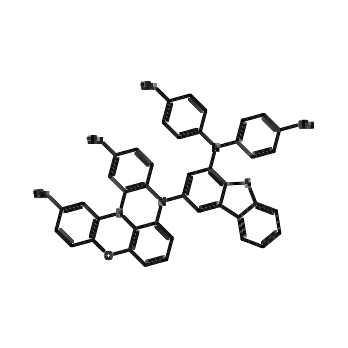 CC(C)(C)c1ccc(N(c2ccc(C(C)(C)C)cc2)c2cc(N3c4ccc(C(C)(C)C)cc4B4c5cc(C(C)(C)C)ccc5Oc5cccc3c54)cc3c2sc2ccccc23)cc1